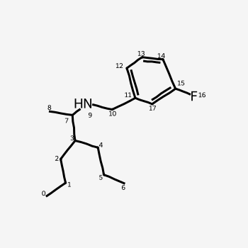 CCCC(CCC)C(C)NCc1cccc(F)c1